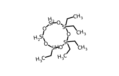 CC[SiH]1O[SiH2]O[SiH2]O[Si](CC)(CC)O[Si](CC)(CC)O1